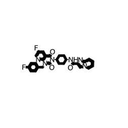 O=C(N[C@H]1CC[C@@H](n2c(=O)c3cc(F)cnc3n(Cc3ccc(F)cc3)c2=O)CC1)c1cn2ccccc2n1